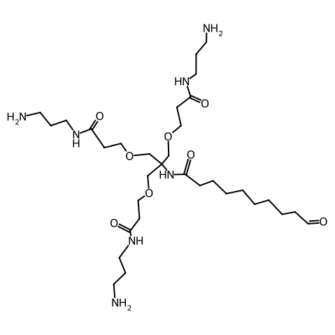 NCCCNC(=O)CCOCC(COCCC(=O)NCCCN)(COCCC(=O)NCCCN)NC(=O)CCCCCCCCC=O